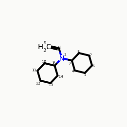 C=[C]N(C1CCCCC1)C1CCCCC1